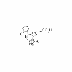 O=C(O)CCc1cc2c(s1)-n1c(Br)nnc1CN=C2c1ccccc1Cl